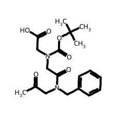 CC(=O)CN(Cc1ccccc1)C(=O)CN(CC(=O)O)C(=O)OC(C)(C)C